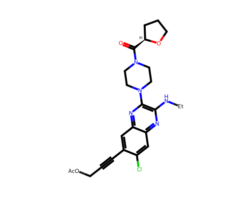 CCNc1nc2cc(Cl)c(C#CCOC(C)=O)cc2nc1N1CCN(C(=O)[C@H]2CCCO2)CC1